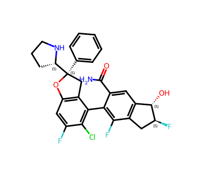 NC(=O)c1cc2c(c(F)c1-c1c(Cl)c(F)cc3c1C[C@](c1ccccc1)([C@@H]1CCCN1)O3)C[C@H](F)[C@H]2O